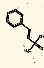 CP(C)(=O)/C=C/c1ccccc1